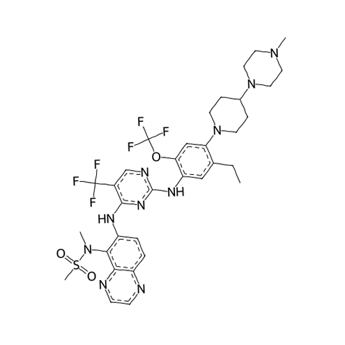 CCc1cc(Nc2ncc(C(F)(F)F)c(Nc3ccc4nccnc4c3N(C)S(C)(=O)=O)n2)c(OC(F)(F)F)cc1N1CCC(N2CCN(C)CC2)CC1